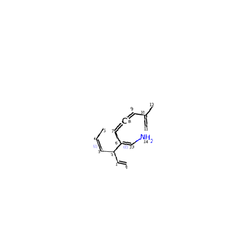 C=CC(/C=C\C)/C(C=C=CC(=C)C)=C/N